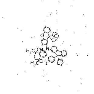 CC1(C)CCC(C)(C)c2cc(N(c3ccc4c(c3)C(c3ccccc3)(c3ccccc3)c3ccccc3-4)c3ccc4c(c3)C3(c5ccccc5O4)C4CC5CC6CC3C64C5)ccc21